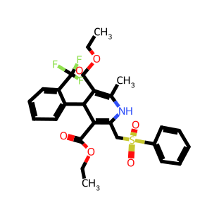 CCOC(=O)C1=C(C)NC(CS(=O)(=O)c2ccccc2)=C(C(=O)OCC)C1c1ccccc1C(F)(F)F